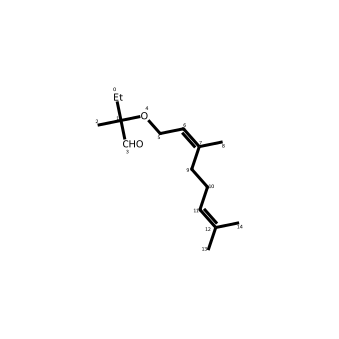 CCC(C)(C=O)OCC=C(C)CCC=C(C)C